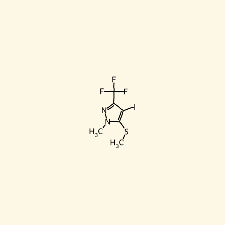 CSc1c(I)c(C(F)(F)F)nn1C